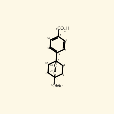 COC12CCC(c3ccc(C(=O)O)cc3)(CC1)CC2